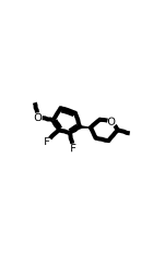 COc1ccc([C@@H]2CCC(C)OC2)c(F)c1F